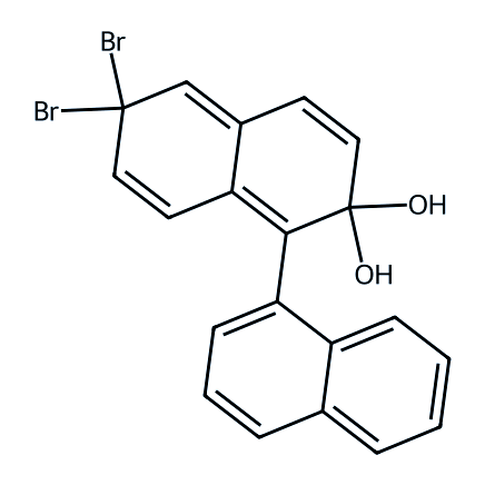 OC1(O)C=CC2=CC(Br)(Br)C=CC2=C1c1cccc2ccccc12